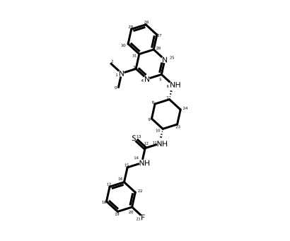 CN(C)c1nc(N[C@H]2CC[C@@H](NC(=S)NCc3cccc(F)c3)CC2)nc2ccccc12